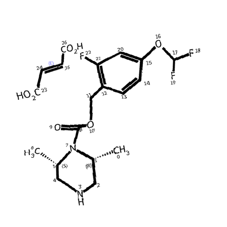 C[C@@H]1CNC[C@H](C)N1C(=O)OCc1ccc(OC(F)F)cc1F.O=C(O)/C=C/C(=O)O